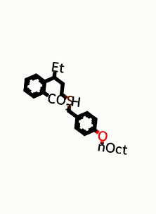 CCCCCCCCOc1ccc(CSCCC(CC)c2ccccc2C(=O)O)cc1